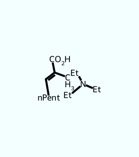 CCCCCC=C(C)C(=O)O.CCN(CC)CC